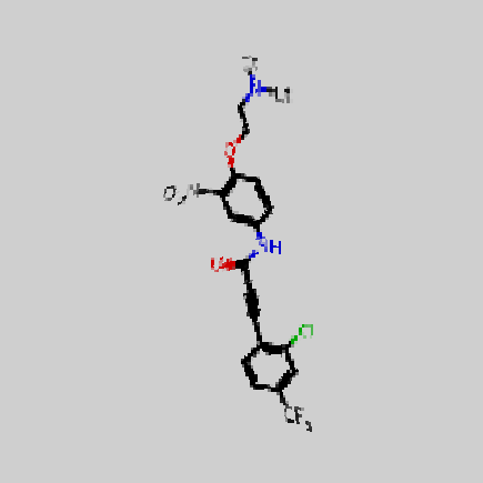 CCN(CC)CCOc1ccc(NC(=O)C#Cc2ccc(C(F)(F)F)cc2Cl)cc1[N+](=O)[O-]